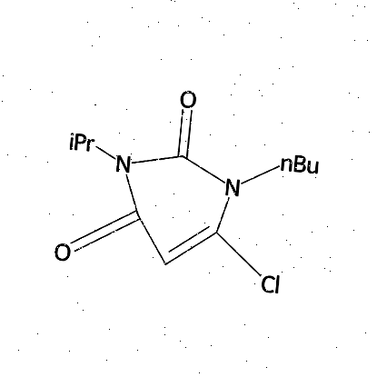 CCCCn1c(Cl)cc(=O)n(C(C)C)c1=O